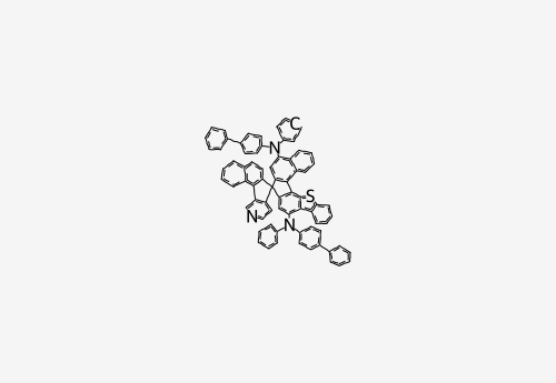 c1ccc(-c2ccc(N(c3ccccc3)c3cc4c(c5ccccc35)-c3c(cc(N(c5ccccc5)c5ccc(-c6ccccc6)cc5)c5c3sc3ccccc35)C43c4ccncc4-c4c3ccc3ccccc43)cc2)cc1